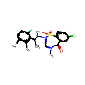 Cc1ccc(F)c(C(C)[C@@H](C(=O)O)N2CN(C)C(=O)c3cc(Cl)ccc3S2(=O)=O)c1C